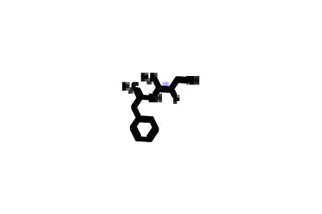 C=C(Cc1ccccc1)N/C(N)=C(\F)C=N